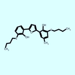 CCCCSc1cccc(-c2ccc(-c3cc(C)cc(SCCCC)c3O)o2)c1O